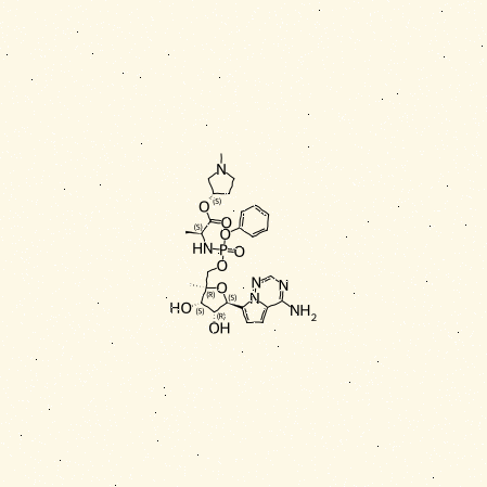 C[C@H](NP(=O)(OC[C@@]1(C)O[C@@H](c2ccc3c(N)ncnn23)[C@H](O)[C@@H]1O)Oc1ccccc1)C(=O)O[C@H]1CCN(C)C1